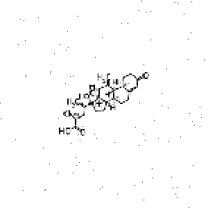 C=C1C[C@@]2(C)[C@@H](CC[C@@]2(O)C(=C)C[C@H](Cl)C(=O)O)[C@@H]2CCC3=CC(=O)CC[C@@H]3[C@@H]12